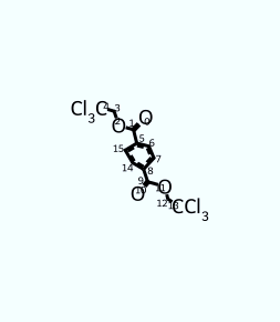 O=C(OCC(Cl)(Cl)Cl)c1ccc(C(=O)OCC(Cl)(Cl)Cl)cc1